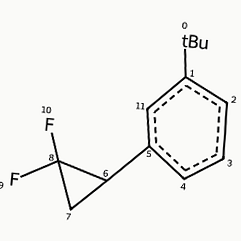 CC(C)(C)c1cccc(C2CC2(F)F)c1